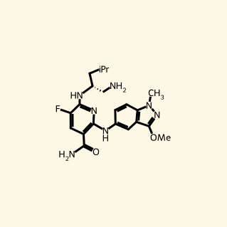 COc1nn(C)c2ccc(Nc3nc(N[C@@H](CN)CC(C)C)c(F)cc3C(N)=O)cc12